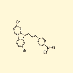 CCN(CC)c1ccc(C=CC=C2c3cc(Br)ccc3-c3ccc(Br)cc32)cc1